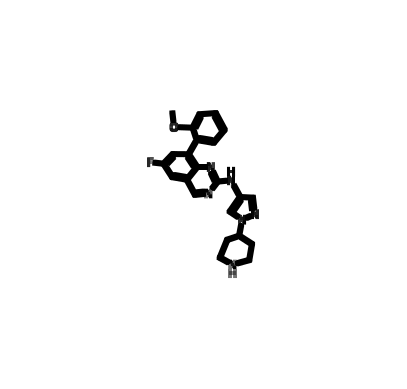 COc1ccccc1-c1cc(F)cc2cnc(Nc3cnn(C4CCNCC4)c3)nc12